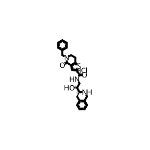 Cl.O=C(NC[C@@H](O)[C@@H]1Cc2ccccc2CN1)c1cc2c(s1)CCN(Cc1ccccc1)C2=O